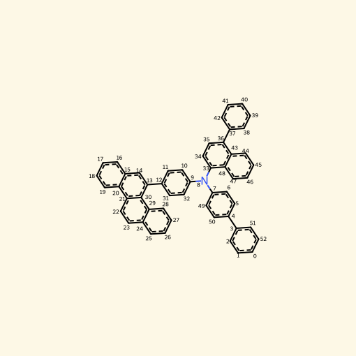 c1ccc(-c2ccc(N(c3ccc(-c4cc5ccccc5c5ccc6ccccc6c45)cc3)c3ccc(-c4ccccc4)c4ccccc34)cc2)cc1